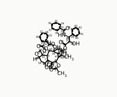 CC(=O)O[C@H]1C(=O)[C@@]2(C)C([C@H](OC(=O)c3ccccc3)C3(O)C[C@H](OC(=O)[C@H](O)[C@@H](NC(=O)c4ccccc4)c4ccccc4)C(C)=C1C3(C)C)[C@]1(OC(C)=O)CO[C@@H]1C[C@@H]2O